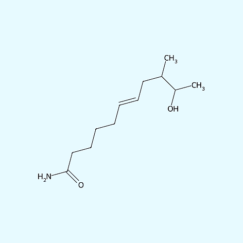 CC(O)C(C)C/C=C/CCCCC(N)=O